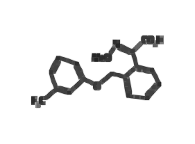 CO/N=C(/C(=O)O)c1ccccc1COc1cccc(C(F)(F)F)c1